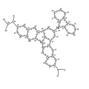 CC(C)c1ccc2cc3c(cc2c1)c1cc(-n2c4ccccc4c4ccccc42)cc2c4cc5cc(C(C)C(C)C)ccc5cc4n3c12